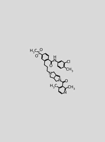 Cc1ccc(NC(=O)c2ccc(S(C)(=O)=O)cc2CCCN2CC3=CN(C(=O)c4c(C)ccnc4C)CC3C2)cc1Cl